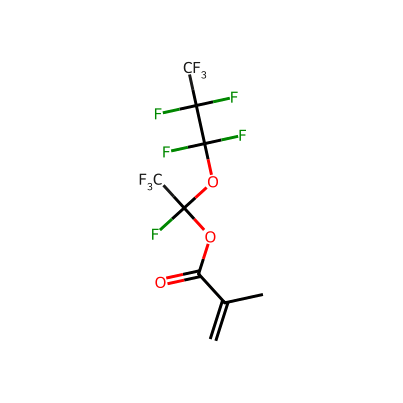 C=C(C)C(=O)OC(F)(OC(F)(F)C(F)(F)C(F)(F)F)C(F)(F)F